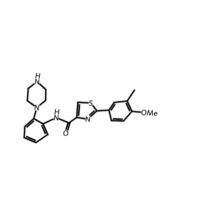 COc1ccc(-c2nc(C(=O)Nc3ccccc3N3CCNCC3)cs2)cc1C